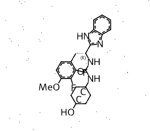 COc1ccc(C[C@@H](NC(=O)NC23CCC(O)(CC2)CC3)c2nc3ccccc3[nH]2)c(F)c1F